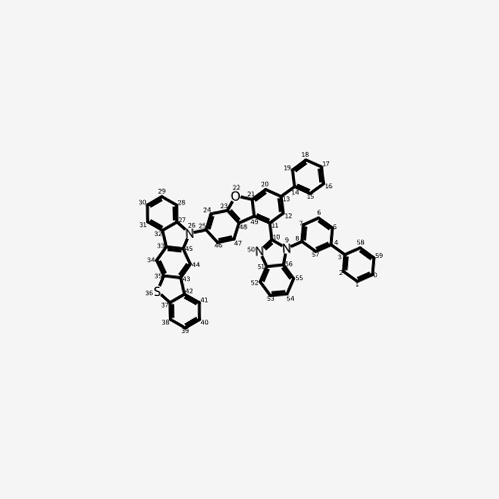 c1ccc(-c2cccc(-n3c(-c4cc(-c5ccccc5)cc5oc6cc(-n7c8ccccc8c8cc9sc%10ccccc%10c9cc87)ccc6c45)nc4ccccc43)c2)cc1